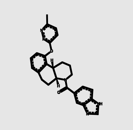 Cc1ccc(Oc2cccc3c2[C@@H]2CCCN(C(=O)c4ccc5[nH]cnc5c4)[C@@H]2CC3)nn1